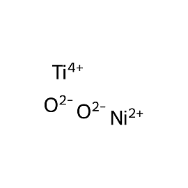 [Ni+2].[O-2].[O-2].[Ti+4]